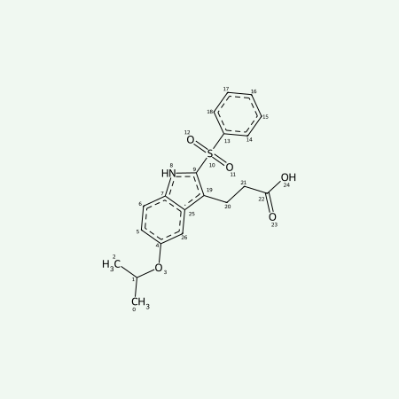 CC(C)Oc1ccc2[nH]c(S(=O)(=O)c3ccccc3)c(CCC(=O)O)c2c1